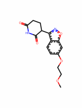 COCCOc1ccc2c(C3CCC(=O)NC3=O)noc2c1